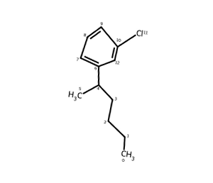 CCCCC(C)c1cccc(Cl)c1